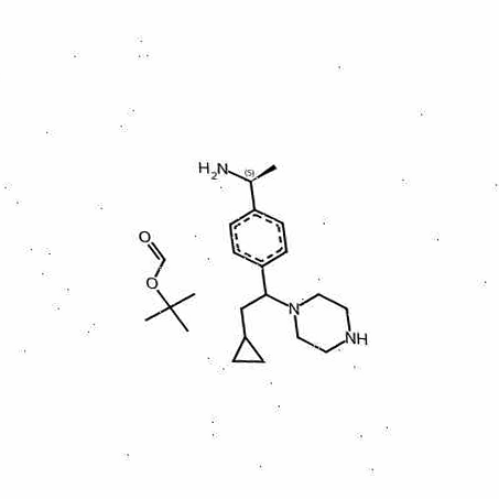 CC(C)(C)OC=O.C[C@H](N)c1ccc(C(CC2CC2)N2CCNCC2)cc1